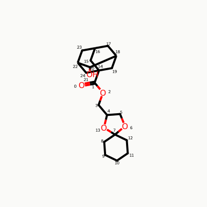 O=C(OCC1COC2(CCCCC2)O1)C12CC3CC(C1)C(O)C(C3)C2